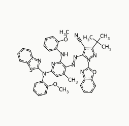 COc1ccccc1Nc1nc(N(c2nc3ccccc3s2)c2ccccc2OC)cc(C)c1/N=N/c1c(C#N)c(C(C)(C)C)nn1-c1nc2ccccc2o1